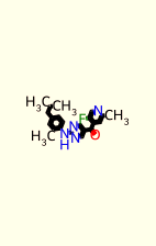 Cc1cc(C(=O)c2cnc(Nc3ccc(CC(C)C)cc3C)nc2)c(F)cn1